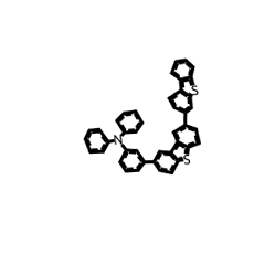 c1ccc(N(c2ccccc2)c2cccc(-c3ccc4sc5ccc(-c6ccc7c(c6)sc6ccccc67)cc5c4c3)c2)cc1